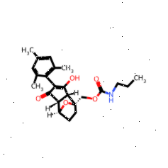 CCCNC(=O)OC[C@]12CC[C@H](O1)[C@@H]1C(=O)C(c3c(C)cc(C)cc3C)=C(O)[C@@H]12